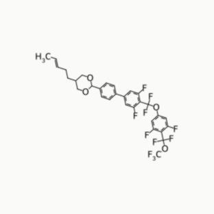 C/C=C/CCC1COC(c2ccc(-c3cc(F)c(C(F)(F)Oc4cc(F)c(C(F)(F)OC(F)(F)F)c(F)c4)c(F)c3)cc2)OC1